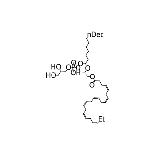 CC/C=C\C/C=C\C/C=C\C/C=C\C/C=C\C/C=C\CCC(=O)OC[C@H](COP(=O)(O)OC[C@@H](O)CO)OC(=O)CCCCCCCCCCCCCCCC